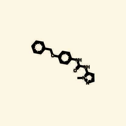 Cn1nccc1NC(=O)Nc1ccc(OCc2ccccc2)cc1